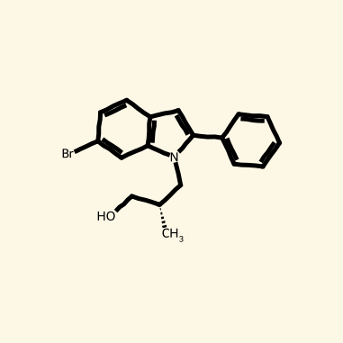 C[C@H](CO)Cn1c(-c2ccccc2)cc2ccc(Br)cc21